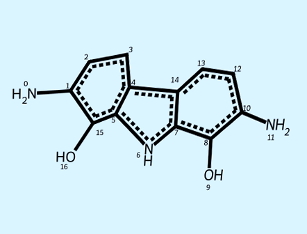 Nc1ccc2c([nH]c3c(O)c(N)ccc32)c1O